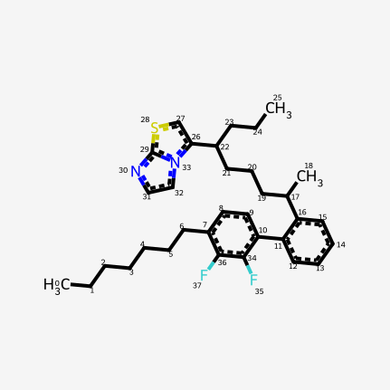 CCCCCCCc1ccc(-c2ccccc2C(C)CCCC(CCC)c2csc3nccn23)c(F)c1F